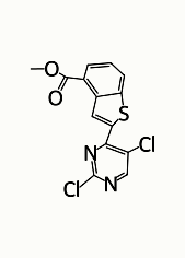 COC(=O)c1cccc2sc(-c3nc(Cl)ncc3Cl)cc12